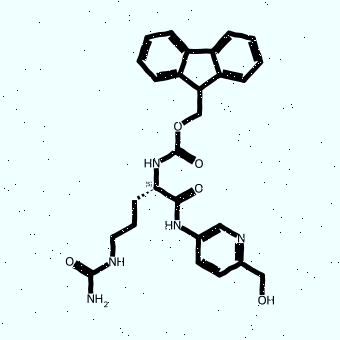 NC(=O)NCCC[C@H](NC(=O)OCC1c2ccccc2-c2ccccc21)C(=O)Nc1ccc(CO)nc1